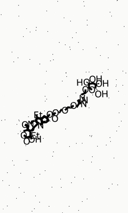 CCc1c2c(nc3ccc(OC(=O)OCCOCCOCc4cn(CCO[C@H]5O[C@@H](CO)[C@H](O)[C@@H](O)[C@@H]5O)nn4)cc13)-c1cc3c(c(=O)n1C2)COC(=O)[C@]3(O)CC